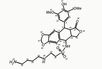 COc1cc(C2c3cc4c(cc3C(NS(=O)(=O)CCNCCCCN)C3COC(=O)C23)OCO4)cc(OC)c1O